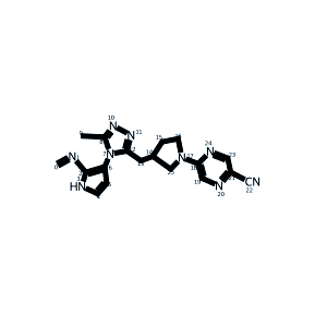 C=Nc1[nH]ccc1-n1c(C)nnc1CC1CCN(c2cnc(C#N)cn2)C1